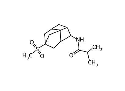 CC(C)C(=O)NC1C2CC3CC1CC(S(C)(=O)=O)(C3)C2